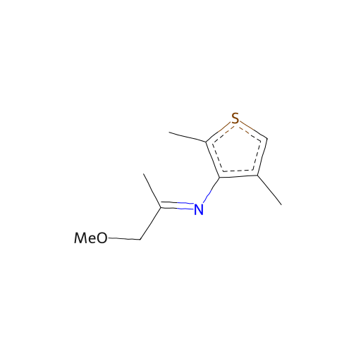 COC/C(C)=N/c1c(C)csc1C